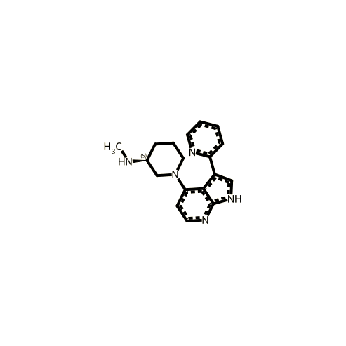 CN[C@H]1CCCN(c2ccnc3[nH]cc(-c4ccccn4)c23)C1